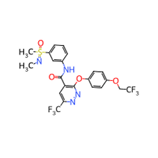 CN=S(C)(=O)c1cccc(NC(=O)c2cc(C(F)(F)F)nnc2Oc2ccc(OCC(F)(F)F)cc2)c1